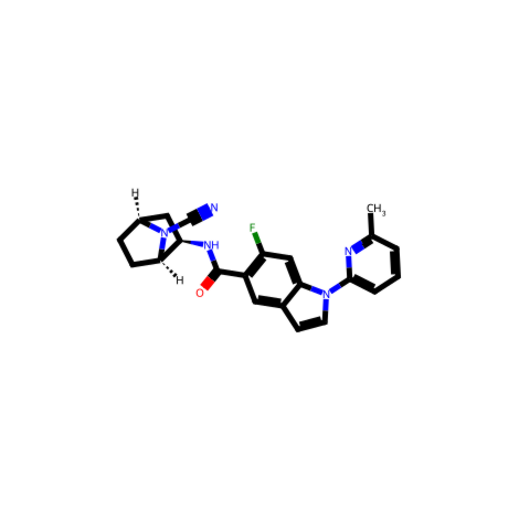 Cc1cccc(-n2ccc3cc(C(=O)N[C@@H]4C[C@@H]5CC[C@H]4N5C#N)c(F)cc32)n1